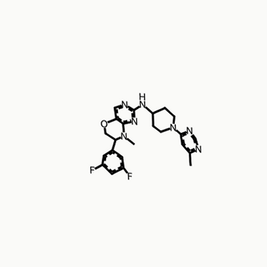 Cc1cc(N2CCC(Nc3ncc4c(n3)N(C)C(c3cc(F)cc(F)c3)CO4)CC2)ncn1